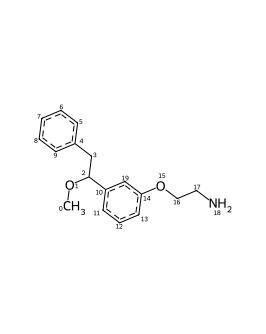 COC(Cc1ccccc1)c1cccc(OCCN)c1